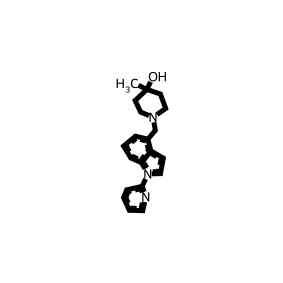 CC1(O)CCN(Cc2cccc3c2ccn3-c2ccccn2)CC1